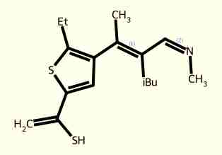 C=C(S)c1cc(/C(C)=C(/C=N\C)C(C)CC)c(CC)s1